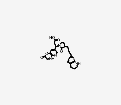 O=C(O)CC(c1cnc2c(c1)OC(=O)CN2)N1CCC(CCCc2ccc3c(n2)NCCC3)C1=O